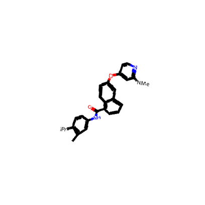 CNc1cc(Oc2ccc3c(C(=O)Nc4ccc(C(C)C)c(C)c4)cccc3c2)ccn1